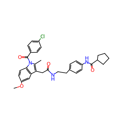 COc1ccc2c(c1)c(CC(=O)NCCc1ccc(NC(=O)C3CCCC3)cc1)c(C)n2C(=O)c1ccc(Cl)cc1